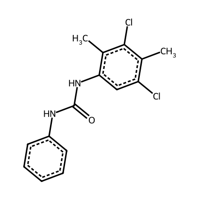 Cc1c(Cl)cc(NC(=O)Nc2ccccc2)c(C)c1Cl